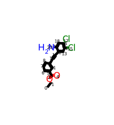 CCOC(=O)c1cccc(C#Cc2cc(Cl)c(Cl)cc2N)c1